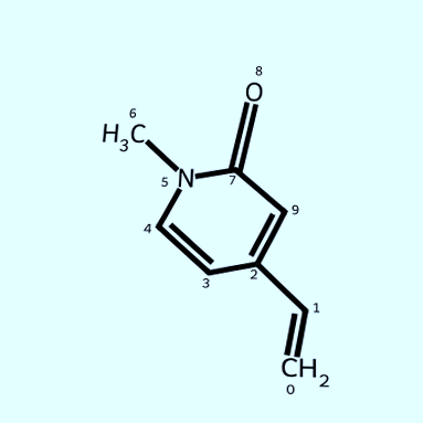 C=Cc1ccn(C)c(=O)c1